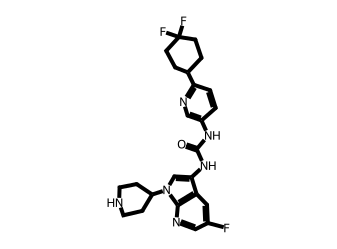 O=C(Nc1ccc(C2CCC(F)(F)CC2)nc1)Nc1cn(C2CCNCC2)c2ncc(F)cc12